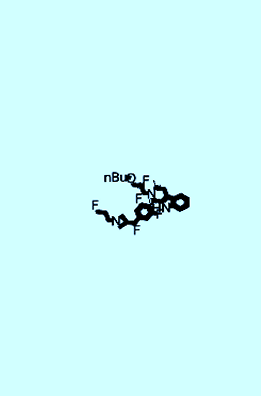 CCCCOC[C@H](F)CN1[C@H](c2c(F)cc(C(F)C3CN(CCCF)C3)cc2F)c2[nH]c3ccccc3c2C[C@H]1C